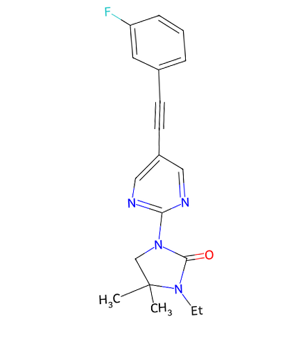 CCN1C(=O)N(c2ncc(C#Cc3cccc(F)c3)cn2)CC1(C)C